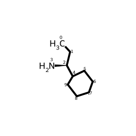 CC[C@H](N)C1CC[CH]CC1